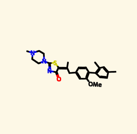 COc1cc(C/C(C)=C2/SC(N3CCN(C)CC3)=NC2=O)ccc1-c1ccc(C)cc1C